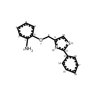 Nc1ccccc1OCc1csc(-c2ccccc2)n1